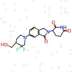 O=C1CCC(N2Cc3ccc(N4CCC(CO)C(F)(F)C4)cc3C2=O)C(=O)N1